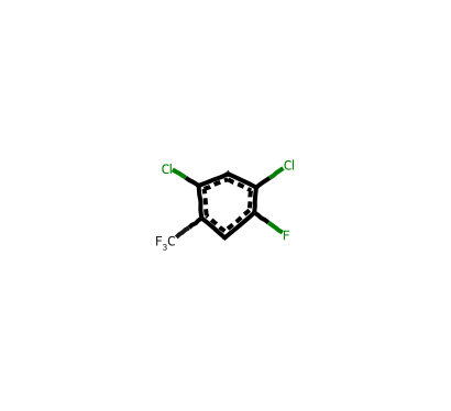 Fc1cc(C(F)(F)F)c(Cl)[c]c1Cl